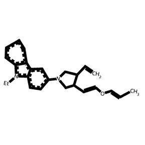 C=CC1CN(c2ccc3c(c2)c2ccccc2n3CC)CC1/C=C/O/C=C/C